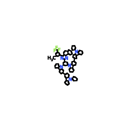 Cc1cc(-c2nc(-c3cc(-n4c5ccccc5c5ccc(-c6ccc7c(c6)c6ccccc6n7-c6ccccc6)cc54)cc(-n4c5ccccc5c5ccc(-c6ccc7c(c6)c6ccccc6n7-c6ccccc6)cc54)c3)nc3c2ccc2ccccc23)cc(C(F)(F)F)c1